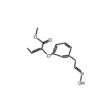 CC=C(Oc1cccc(CC=NO)c1)C(=O)OC